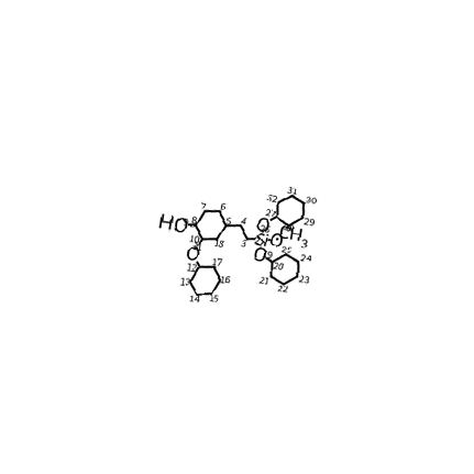 CO[Si](CCC1CCC(O)C(OC2CCCCC2)C1)(OC1CCCCC1)OC1CCCCC1